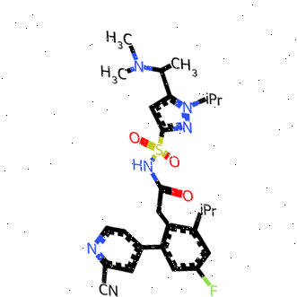 CC(C)c1cc(F)cc(-c2ccnc(C#N)c2)c1CC(=O)NS(=O)(=O)c1cc(C(C)N(C)C)n(C(C)C)n1